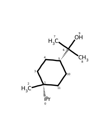 CC(C)[C@]1(C)CC[C@H](C(C)(C)O)CC1